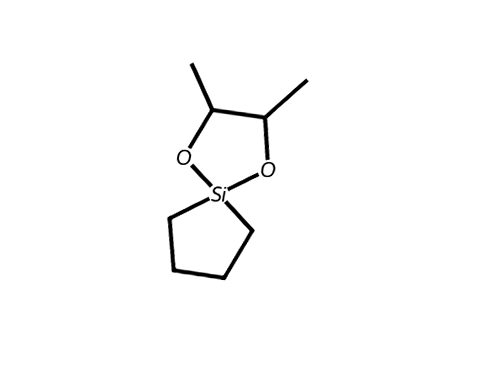 CC1O[Si]2(CCCC2)OC1C